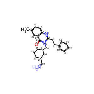 Cc1ccc2nc(CCc3ccccc3)n(CC3CCCC(CN)C3)c(=O)c2c1